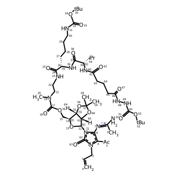 C=CCn1c(C(C)=O)c(/N=C(\C)N)n([C@H]2O[C@@H](COC(=O)N(C)CCNC(=O)[C@H](CCCCNC(=O)OC(C)(C)C)NC(=O)[C@@H](NC(=O)CCCC(=O)NNC(=O)OC(C)(C)C)C(C)C)[C@@H]3OC(C)(C)O[C@@H]32)c1=O